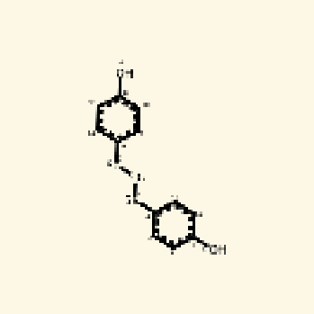 Oc1ccc([Se]O[Se]c2ccc(O)cc2)cc1